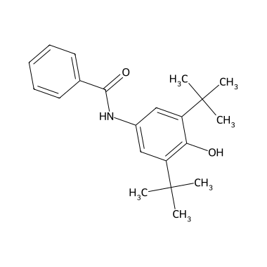 CC(C)(C)c1cc(NC(=O)c2ccccc2)cc(C(C)(C)C)c1O